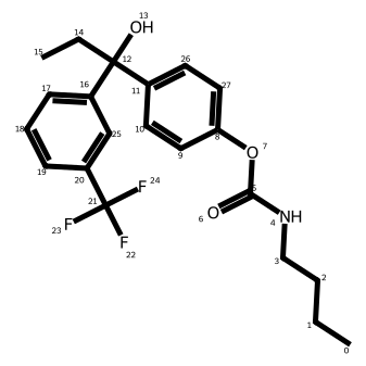 CCCCNC(=O)Oc1ccc(C(O)(CC)c2cccc(C(F)(F)F)c2)cc1